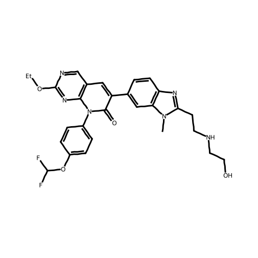 CCOc1ncc2cc(-c3ccc4nc(CCNCCO)n(C)c4c3)c(=O)n(-c3ccc(OC(F)F)cc3)c2n1